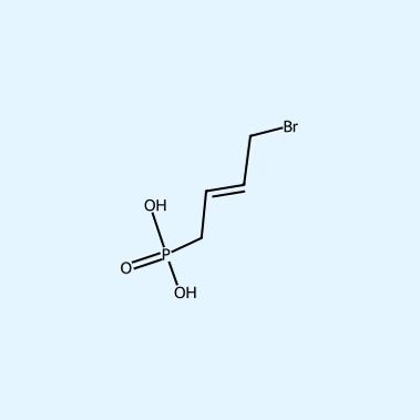 O=P(O)(O)C/C=C/CBr